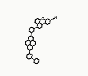 N#Cc1ccc2c(c1)Oc1cccc3c(-c4cccc(-c5cc6ccc7cc(-c8cccc(-c9ccccc9)n8)cc8ccc(c5)c6c78)c4)ccc-2c13